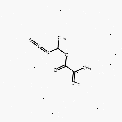 C=C(C)C(=O)OC(C)N=C=S